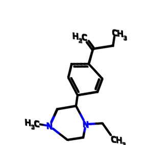 C=C(CC)c1ccc(C2CN(C)CCN2CC)cc1